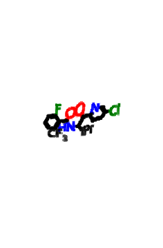 CC(C)C(NC(=O)c1c(F)cccc1C(F)(F)F)C(=O)c1ccc(Cl)cn1